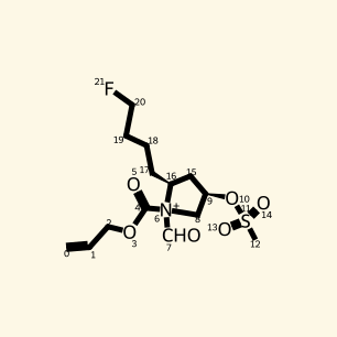 C=CCOC(=O)[N+]1(C=O)C[C@H](OS(C)(=O)=O)C[C@@H]1CCCCF